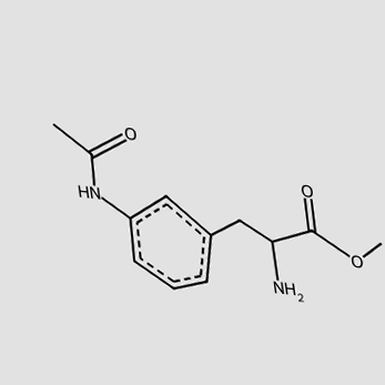 COC(=O)C(N)Cc1cccc(NC(C)=O)c1